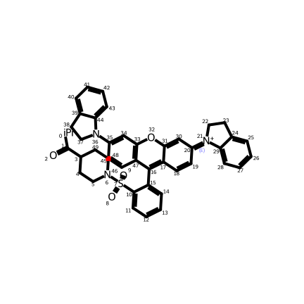 CC(C)C(=O)C1CCN(S(=O)(=O)c2ccccc2-c2c3cc/c(=[N+]4/CCc5ccccc54)cc-3oc3cc(N4CCc5ccccc54)ccc23)CC1